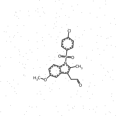 COc1ccc2c(c1)c(CC=O)c(C)n2S(=O)(=O)c1ccc(Cl)cc1